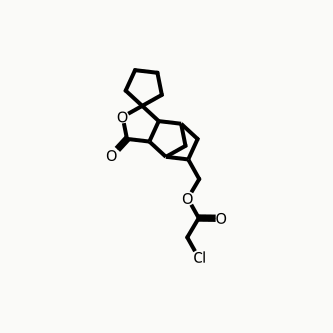 O=C(CCl)OCC1CC2CC1C1C(=O)OC3(CCCC3)C21